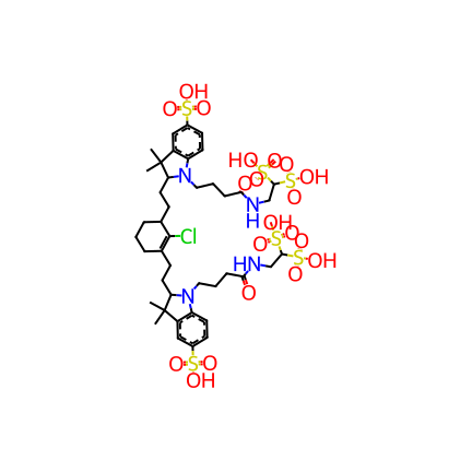 CC1(C)c2cc(S(=O)(=O)O)ccc2N(CCCC(=O)NCC(S(=O)(=O)O)S(=O)(=O)O)C1CCC1=C(Cl)C(CCC2N(CCCC(=O)NCC(S(=O)(=O)O)S(=O)(=O)O)c3ccc(S(=O)(=O)O)cc3C2(C)C)CCC1